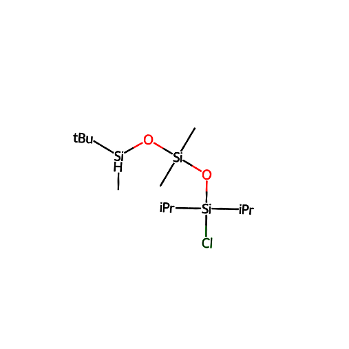 CC(C)[Si](Cl)(O[Si](C)(C)O[SiH](C)C(C)(C)C)C(C)C